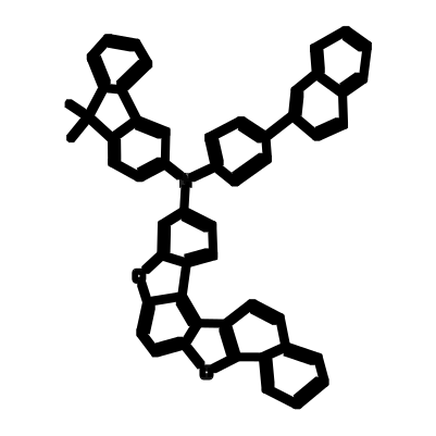 CC1(C)c2ccccc2-c2cc(N(c3ccc(-c4ccc5ccccc5c4)cc3)c3ccc4c(c3)oc3ccc5oc6c7ccccc7ccc6c5c34)ccc21